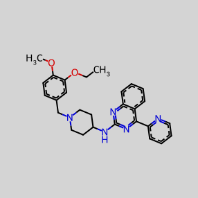 CCOc1cc(CN2CCC(Nc3nc(-c4ccccn4)c4ccccc4n3)CC2)ccc1OC